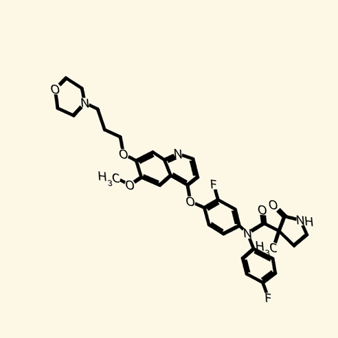 COc1cc2c(Oc3ccc(N(C(=O)C4(C)CCNC4=O)c4ccc(F)cc4)cc3F)ccnc2cc1OCCCN1CCOCC1